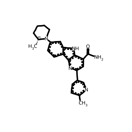 Cc1ccc(-c2cc(C(N)=O)c3[nH]c4cc(N5CCCC[C@H]5C)ccc4c3n2)cn1